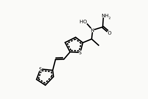 CC(c1ccc(/C=C/c2cccs2)s1)N(O)C(N)=O